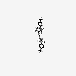 CC(C)(C)c1ccc(S(=O)(=O)NCCCC(NS(=O)(=O)c2ccc(C(C)(C)C)cc2)C(=O)O)cc1